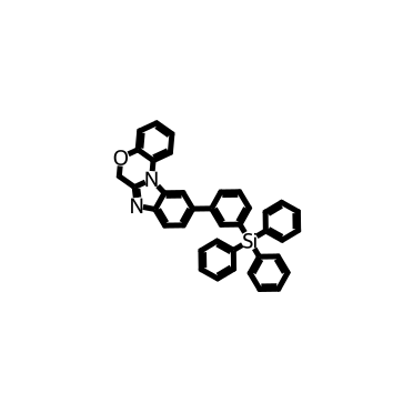 c1ccc([Si](c2ccccc2)(c2ccccc2)c2cccc(-c3ccc4nc5n(c4c3)-c3ccccc3OC5)c2)cc1